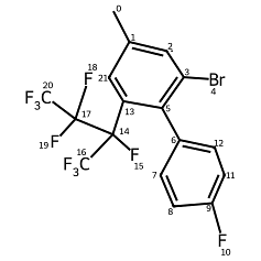 Cc1[c]c(Br)c(-c2ccc(F)cc2)c(C(F)(C(F)(F)F)C(F)(F)C(F)(F)F)c1